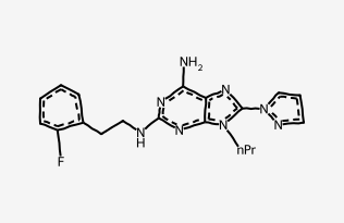 CCCn1c(-n2cccn2)nc2c(N)nc(NCCc3ccccc3F)nc21